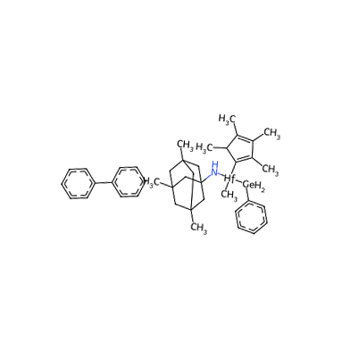 CC1=C(C)C(C)[C]([Hf]([CH3])([NH]C23CC4(C)CC(C)(CC(C)(C4)C2)C3)[GeH2][c]2ccccc2)=C1C.c1ccc(-c2ccccc2)cc1